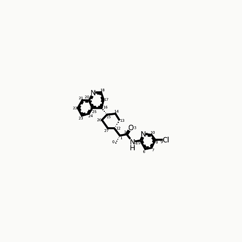 C[C@@H](C(=O)Nc1ccc(Cl)cn1)[C@H]1CC[C@@H](c2ccnc3ccccc32)CC1